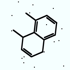 Cc1cccc2c1C(C)C=C[CH]2